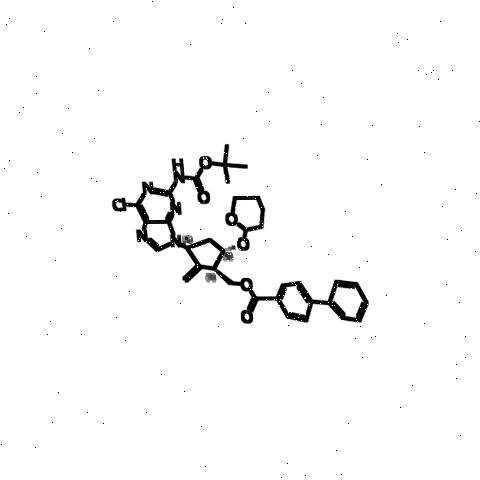 C=C1[C@H](COC(=O)c2ccc(-c3ccccc3)cc2)[C@@H](OC2CCCCO2)C[C@@H]1n1cnc2c(Cl)nc(NC(=O)OC(C)(C)C)nc21